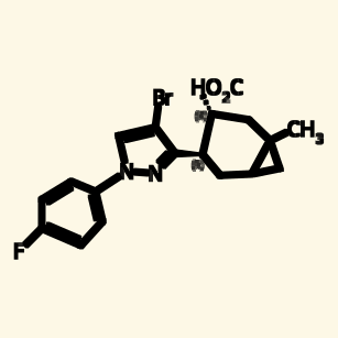 CC12CC1C[C@@H](c1nn(-c3ccc(F)cc3)cc1Br)[C@H](C(=O)O)C2